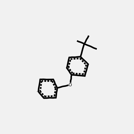 CC(C)(C)c1ccc(Oc2cc[c]cc2)cc1